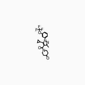 Cc1nn(-c2cccc(OC(F)(F)F)c2)c(C2CC2)c1C(=O)N1CCC(=O)CC1